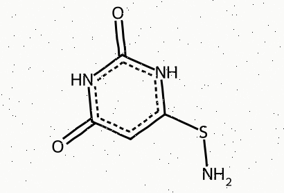 NSc1cc(=O)[nH]c(=O)[nH]1